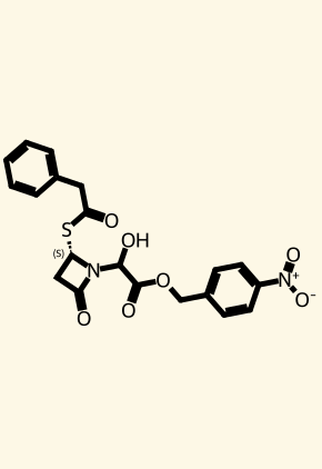 O=C(Cc1ccccc1)S[C@H]1CC(=O)N1C(O)C(=O)OCc1ccc([N+](=O)[O-])cc1